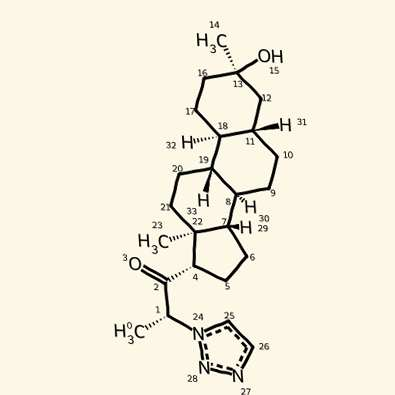 C[C@H](C(=O)[C@H]1CC[C@H]2[C@@H]3CC[C@H]4C[C@](C)(O)CC[C@@H]4[C@H]3CC[C@]12C)n1ccnn1